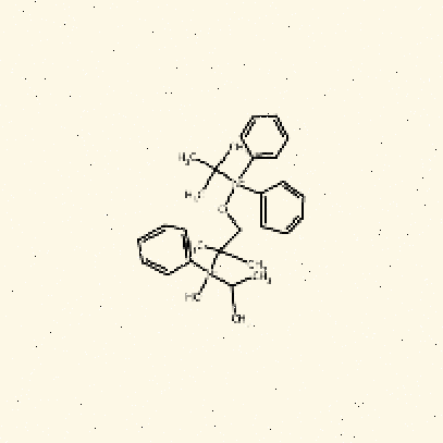 CC(C)[N+](O)(c1ccccc1)C(C)(C)CO[N+](c1ccccc1)(c1ccccc1)C(C)(C)C